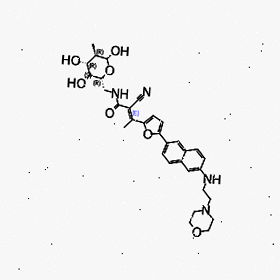 C/C(=C(/C#N)C(=O)NC[C@H]1OC(O)[C@H](C)[C@@H](O)[C@@H]1O)c1ccc(-c2ccc3cc(NCCN4CCOCC4)ccc3c2)o1